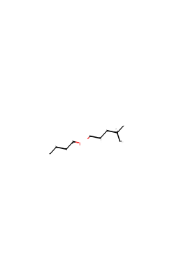 CCC[CH]OCCCC(C)C